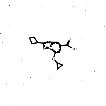 O=C(O)c1cc(OC2CC2)n2nc(C3CCC3)cc2c1